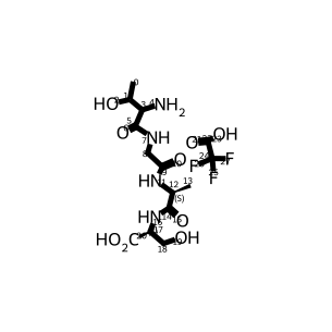 CC(O)C(N)C(=O)NCC(=O)N[C@@H](C)C(=O)N[C@@H](CO)C(=O)O.O=C(O)C(F)(F)F